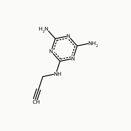 C#CCNc1nc(N)nc(N)n1